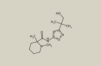 CN1CCCCC1(C)C(=O)Nc1cc(C(C)(C)CO)no1